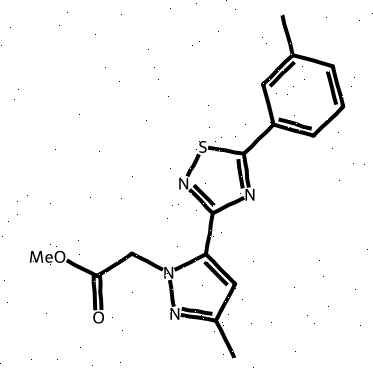 COC(=O)Cn1nc(C)cc1-c1nsc(-c2cccc(C)c2)n1